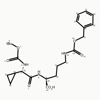 CC(C)(C)OC(=O)N[C@H](C(=O)N[C@@H](CCCNC(=O)OCc1ccccc1)C(=O)O)C1CC1